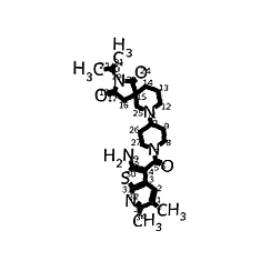 Cc1cc2c(C(=O)N3CCC(N4CCCC5(CC(=O)N(C(C)C)C5=O)C4)CC3)c(N)sc2nc1C